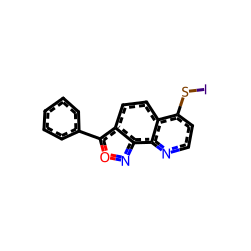 ISc1ccnc2c1ccc1c(-c3ccccc3)onc12